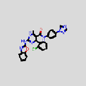 CC1=C(C(=O)Nc2ccc(-n3cncn3)cc2)C(c2ccccc2Cl)N=C(Nc2nc3ccccc3o2)N1